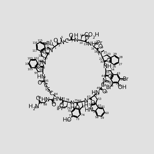 CCCC[C@H]1C(=O)N(C)CC(=O)N[C@@H](CC(=O)O)C(=O)N[C@@H](C(C)C)C(=O)N(C)[C@@H](Cc2ccccc2)C(=O)N[C@@H](Cc2cc(Br)c(O)c(Br)c2)C(=O)N(C)CC(=O)N[C@@H](Cc2c[nH]c3ccccc23)C(=O)N[C@@H](Cc2ccc(O)cc2)C(=O)N[C@@H](CC(C)C)C(=O)N[C@H](C(=O)NCC(N)=O)CSCC(=O)N[C@@H](Cc2ccccc2)C(=O)N(C)[C@@H](Cc2ccccc2)C(=O)N1C